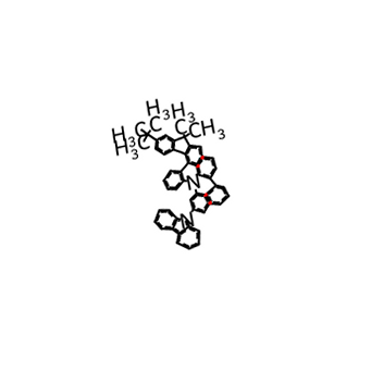 CC(C)(C)c1ccc2c(c1)C(C)(C)c1cccc(-c3ccccc3N(c3cccc(-n4c5ccccc5c5ccccc54)c3)c3ccccc3-c3ccccc3)c1-2